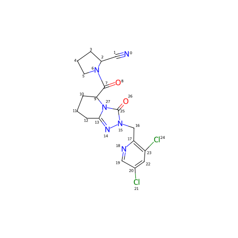 N#CC1CCCN1C(=O)C1CCCc2nn(Cc3ncc(Cl)cc3Cl)c(=O)n21